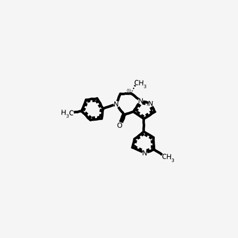 Cc1ccc(N2C[C@H](C)n3ncc(-c4ccnc(C)c4)c3C2=O)cc1